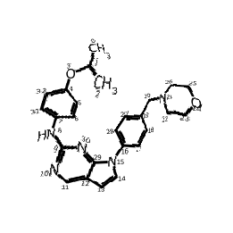 CC(C)Oc1ccc(Nc2ncc3ccn(-c4ccc(CN5CCOCC5)cc4)c3n2)cc1